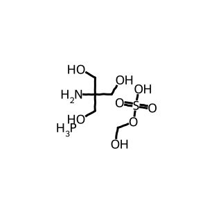 NC(CO)(CO)CO.O=S(=O)(O)OCO.P